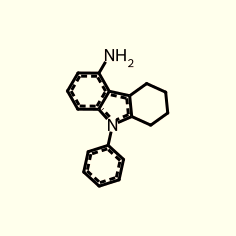 Nc1cccc2c1c1c(n2-c2ccccc2)CCCC1